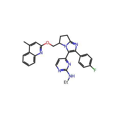 CCNc1nccc(-c2c(-c3ccc(F)cc3)nc3n2C(COc2cc(C)c4ccccc4n2)CC3)n1